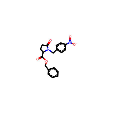 O=C(OCc1ccccc1)C1CCC(=O)N1Cc1ccc([N+](=O)[O-])cc1